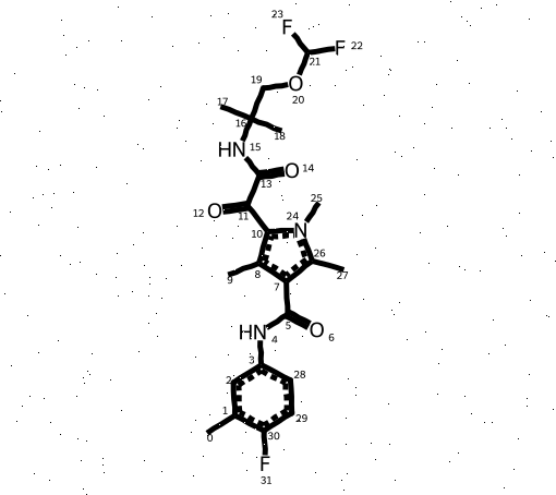 Cc1cc(NC(=O)c2c(C)c(C(=O)C(=O)NC(C)(C)COC(F)F)n(C)c2C)ccc1F